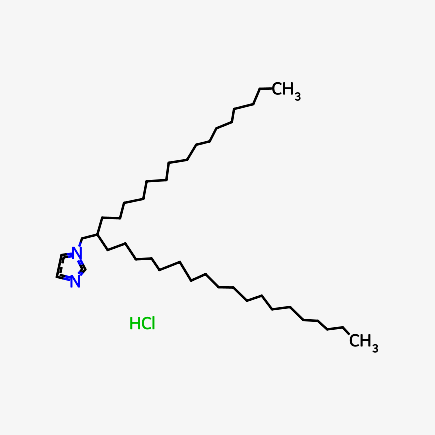 CCCCCCCCCCCCCCCCCCCC(CCCCCCCCCCCCCCCC)Cn1ccnc1.Cl